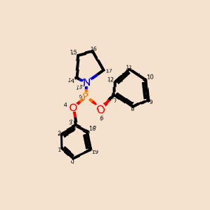 c1ccc(OP(Oc2ccccc2)N2CCCC2)cc1